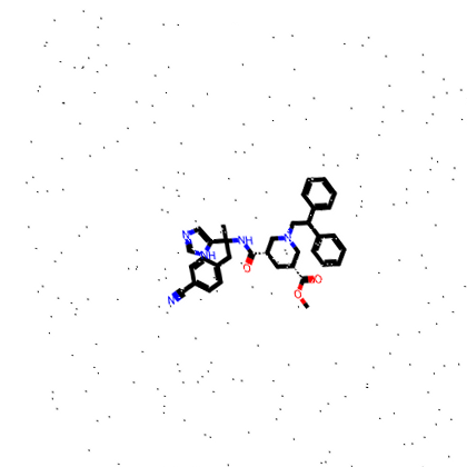 COC(=O)[C@@H]1C[C@H](C(=O)NC(C)(Cc2ccc(C#N)cc2)c2cnc[nH]2)CN(CC(c2ccccc2)c2ccccc2)C1